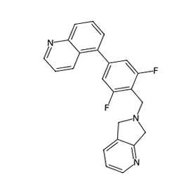 Fc1cc(-c2cccc3ncccc23)cc(F)c1CN1Cc2cccnc2C1